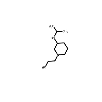 CC(C)NC1CCCN(CCO)C1